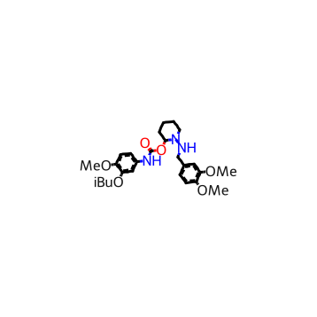 COc1ccc(CNN2CCCCC2OC(=O)Nc2ccc(OC)c(OCC(C)C)c2)cc1OC